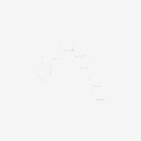 CCn1c2ccccc2c2cc(C(=O)c3ccc(OCC4CCCCO4)cc3C)ccc21